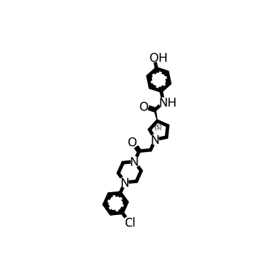 O=C(Nc1ccc(O)cc1)[C@H]1CCN(CC(=O)N2CCN(c3cccc(Cl)c3)CC2)C1